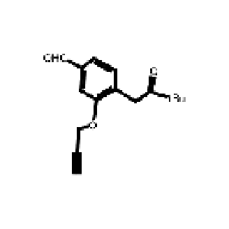 C#CCOc1cc(C=O)ccc1CC(=O)C(C)(C)C